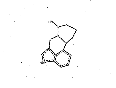 CCCN1CCCC2c3cccc4[nH]cc(c34)CC21